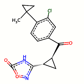 CC1(c2ccc(C(=O)[C@H]3C[C@@H]3c3noc(=O)[nH]3)cc2Cl)CC1